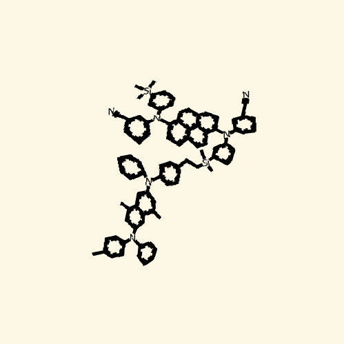 Cc1ccc(N(c2ccccc2)c2cc(C)c3cc(N(c4ccccc4)c4ccc(CC[Si](C)(C)c5cccc(N(c6cccc(C#N)c6)c6ccc7ccc8c(N(c9cccc(C#N)c9)c9cccc([Si](C)(C)C)c9)ccc9ccc6c7c98)c5)cc4)cc(C)c3c2)cc1